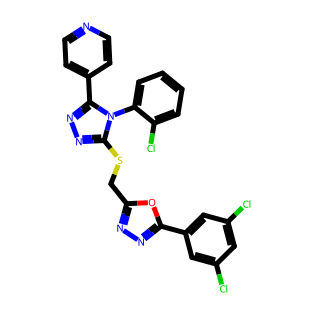 Clc1cc(Cl)cc(-c2nnc(CSc3nnc(-c4ccncc4)n3-c3ccccc3Cl)o2)c1